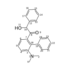 CN(C)c1cccc(C(=O)C(O)c2ccccc2)c1-c1ccccc1